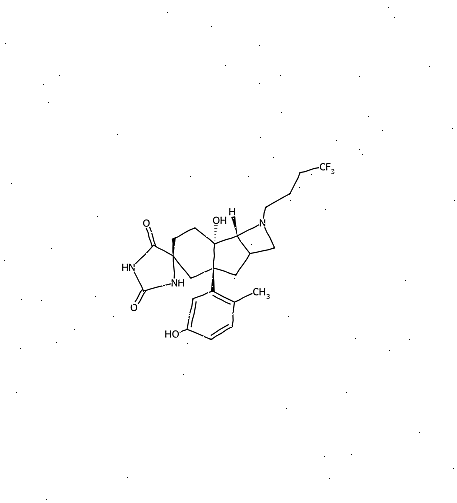 Cc1ccc(O)cc1[C@]12CC3CN(CCCC(F)(F)F)[C@H]3[C@]1(O)CC[C@@]1(C2)NC(=O)NC1=O